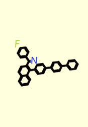 Fc1ccc(-c2nc3cc(-c4ccc(-c5ccccc5)cc4)ccc3c3c2ccc2ccccc23)cc1